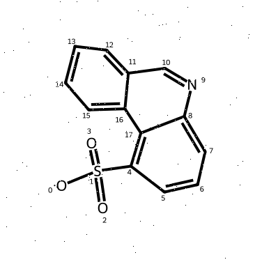 [O]S(=O)(=O)c1cccc2ncc3ccccc3c12